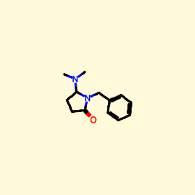 CN(C)C1CCC(=O)N1Cc1ccccc1